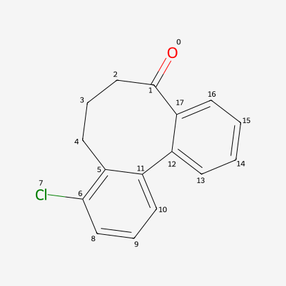 O=C1CCCc2c(Cl)cccc2-c2ccccc21